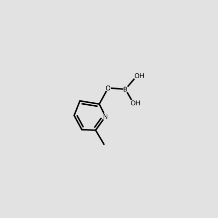 Cc1cccc(OB(O)O)n1